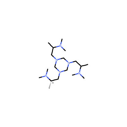 CC(CN1CN(CC(C)N(C)C)CN(C[C@H](C)N(C)C)C1)N(C)C